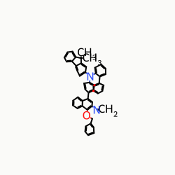 C=Nc1cc(-c2ccc(N(c3ccc4c(c3)C(C)(C)c3ccccc3-4)c3ccccc3-c3ccccc3)cc2)c2ccccc2c1OCc1ccccc1